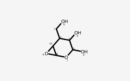 OCC1C(O)C(O)OC2OC21